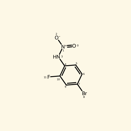 O=[N+]([O-])Nc1ccc(Br)cc1F